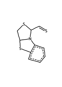 S=CC1SCC2Sc3ccccc3N12